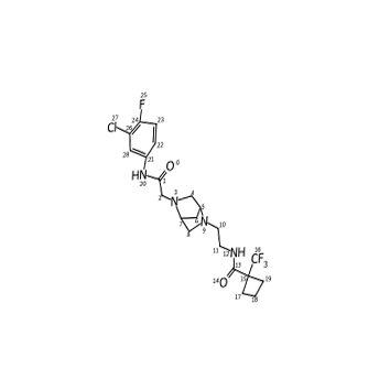 O=C(CN1CC2CC1CN2CCNC(=O)C1(C(F)(F)F)CCC1)Nc1ccc(F)c(Cl)c1